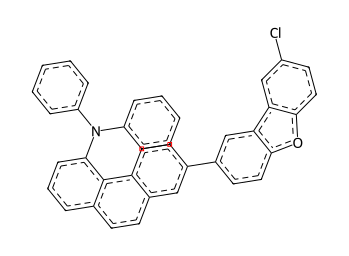 Clc1ccc2oc3ccc(-c4ccc5c(ccc6cccc(N(c7ccccc7)c7ccccc7)c65)c4)cc3c2c1